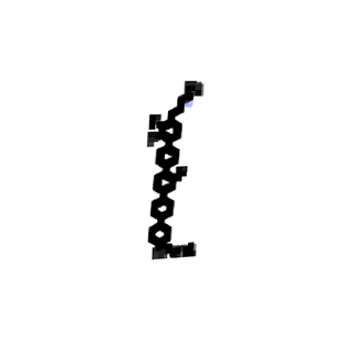 CC/C=C/CCc1ccc(-c2ccc(-c3ccc(C4=CCC(C5CCC(CCCCC)CC5)CC4)cc3F)cc2)c(F)c1F